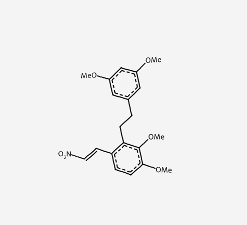 COc1cc(CCc2c(C=C[N+](=O)[O-])ccc(OC)c2OC)cc(OC)c1